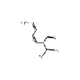 C/N=C\C=C/N(C=O)C(C)C